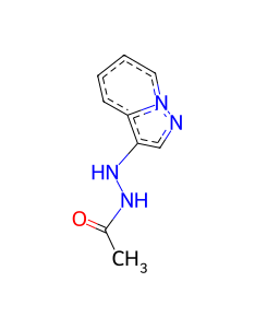 CC(=O)NNc1cnn2ccccc12